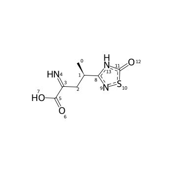 C[C@H](CC(=N)C(=O)O)c1nsc(=O)[nH]1